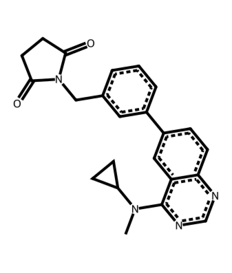 CN(c1ncnc2ccc(-c3cccc(CN4C(=O)CCC4=O)c3)cc12)C1CC1